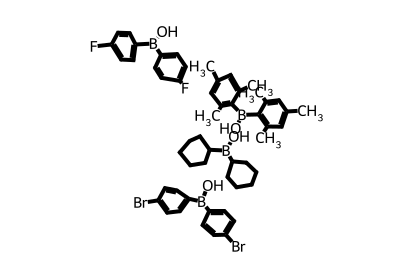 Cc1cc(C)c(B(O)c2c(C)cc(C)cc2C)c(C)c1.OB(C1CCCCC1)C1CCCCC1.OB(c1ccc(Br)cc1)c1ccc(Br)cc1.OB(c1ccc(F)cc1)c1ccc(F)cc1